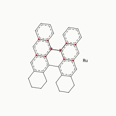 [Ru].c1ccc(P(c2ccccc2)c2ccc3c(c2-c2c(P(c4ccccc4)c4ccccc4)ccc4c2CCCC4)CCCC3)cc1